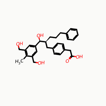 Cc1c(CO)cc([C@@H](O)[C@@H](CCCc2ccccc2)Cc2ccc(CC(=O)O)cc2)cc1CO